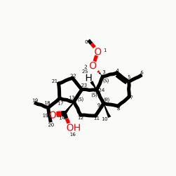 COO[C@@H]1C=C(C)CC[C@]2(C)CC[C@]3(C(=O)O)C(C(C)C)CCC3[C@H]12